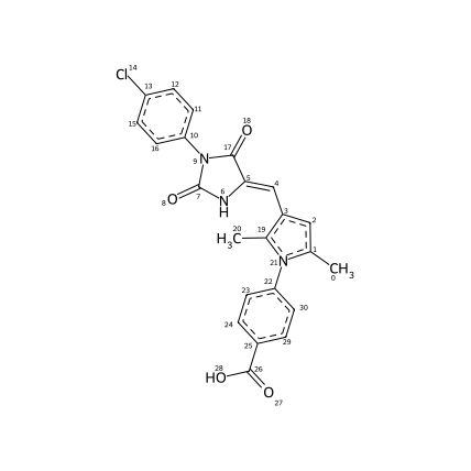 Cc1cc(C=C2NC(=O)N(c3ccc(Cl)cc3)C2=O)c(C)n1-c1ccc(C(=O)O)cc1